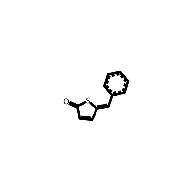 O=C1C=CC(=Cc2ccccc2)S1